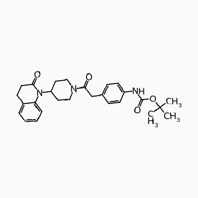 CC(C)(C)OC(=O)Nc1ccc(CC(=O)N2CCC(N3C(=O)CCc4ccccc43)CC2)cc1